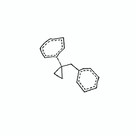 [CH]1CC1(Cc1ccccc1)c1ccccc1